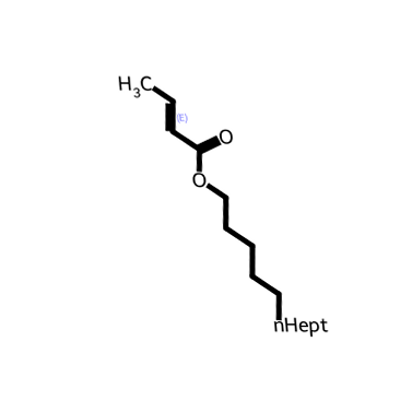 C/C=C/C(=O)OCCCCCCCCCCCC